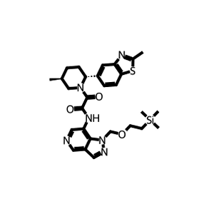 Cc1nc2cc([C@H]3CC[C@H](C)CN3C(=O)C(=O)Nc3cncc4cnn(COCC[Si](C)(C)C)c34)ccc2s1